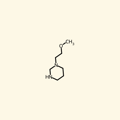 COCCN1CCCNC1